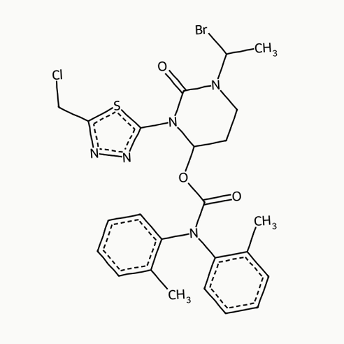 Cc1ccccc1N(C(=O)OC1CCN(C(C)Br)C(=O)N1c1nnc(CCl)s1)c1ccccc1C